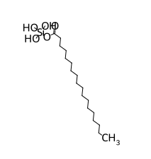 CCCCCCCCCCCCCCCCCC(=O)O[Si](O)(O)O